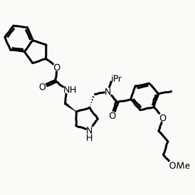 COCCCOc1cc(C(=O)N(C[C@@H]2CNC[C@H]2CNC(=O)OC2Cc3ccccc3C2)C(C)C)ccc1C